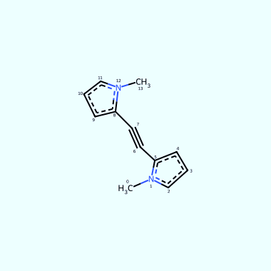 Cn1cccc1C#Cc1cccn1C